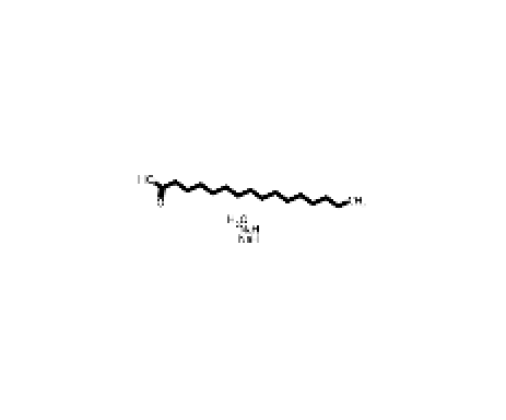 CCCCCCCCCCCCCCCC(=O)O.O.[NaH].[NaH]